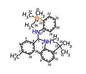 Cc1ccc(C(Nc2ccccc2C(C)(C)C)Nc2ccccc2[PH](C)(C)C)cc1